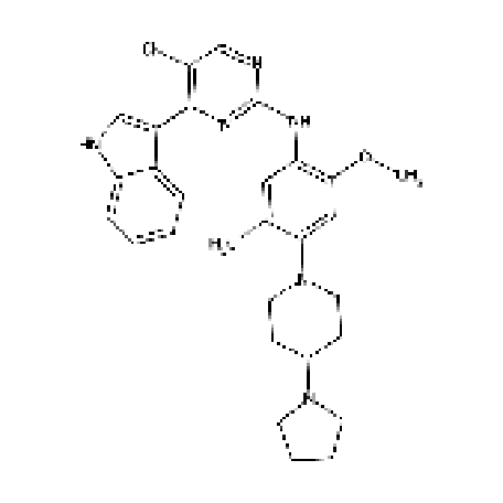 COc1cc(N2CCC(N3CCCC3)CC2)c(C)cc1Nc1ncc(Cl)c(-c2c[nH]c3ccccc23)n1